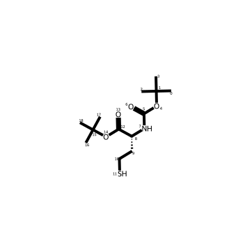 CC(C)(C)OC(=O)N[C@H](CCS)C(=O)OC(C)(C)C